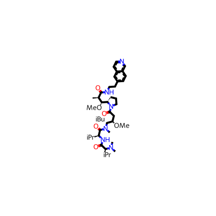 CC[C@H](C)C([C@@H](CC(=O)N1CCC[C@H]1[C@H](OC)[C@@H](C)C(=O)NCCc1ccc2cnccc2c1)OC)N(C)C(=O)[C@@H](NC(=O)[C@H](C(C)C)N(C)C)C(C)C